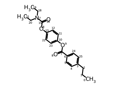 CCCc1ccc(C(=O)Oc2ccc(OC(=O)N(CC)CC)cc2)cc1